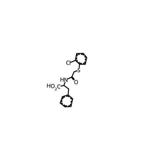 O=C(CSc1ccccc1Cl)NC(Cc1ccccc1)C(=O)O